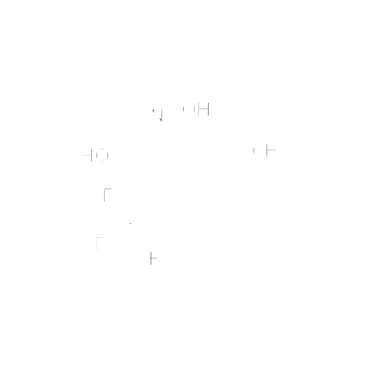 Cc1ccc(C(F)(F)F)cc1O.N#CO